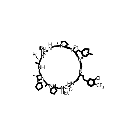 CCO[C@@H]1CNCC2(CCCC2)NC(C)[C@H](C2CCCC2)N2C(C)[C@@H](C)C2CNC(C)[C@H](CC(C)C)NC[C@H]([C@@H](C)CC)NC[C@H](C)N2CCCC2=CN(CC)C(Cc2ccc(C)cc2)=CN(C)C=CN=C(CCc2ccc(C(F)(F)F)c(Cl)c2)C=CN1